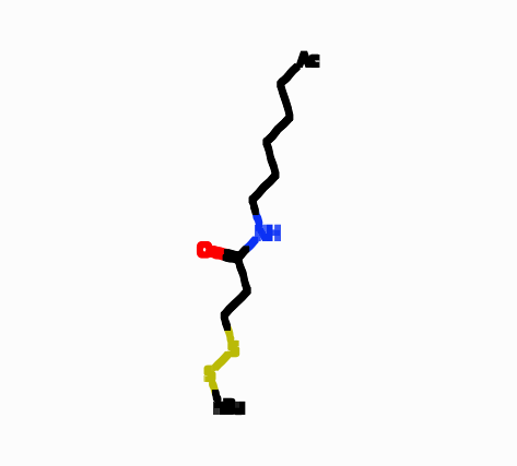 CCCCSSCCC(=O)NCCCCCC(C)=O